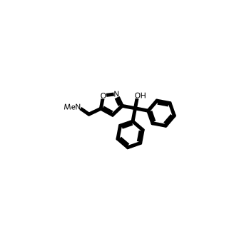 CNCc1cc(C(O)(c2ccccc2)c2ccccc2)no1